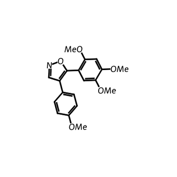 COc1ccc(-c2cnoc2-c2cc(OC)c(OC)cc2OC)cc1